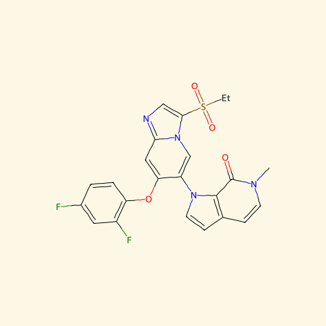 CCS(=O)(=O)c1cnc2cc(Oc3ccc(F)cc3F)c(-n3ccc4ccn(C)c(=O)c43)cn12